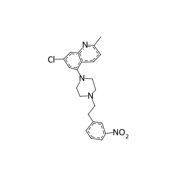 Cc1ccc2c(N3CCN(CCc4cccc([N+](=O)[O-])c4)CC3)cc(Cl)cc2n1